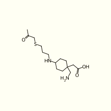 CC(=O)CSCCCNC1CCC(CN)(CC(=O)O)CC1